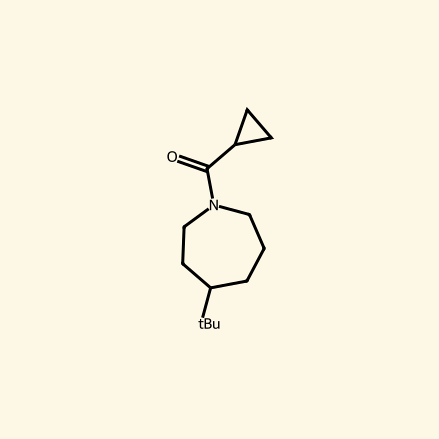 CC(C)(C)C1CCCN(C(=O)C2CC2)CC1